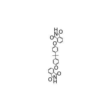 CC(C)(c1ccc(Oc2cccc3c2C(=O)NC3=O)cc1)c1ccc(Oc2cccc3c2C(=O)NC3=O)cc1